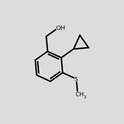 CSc1cccc(CO)c1C1CC1